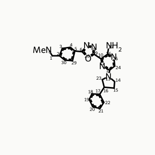 CNCc1ccc(-c2nnc(-c3nc(N4CCC(c5ccccc5)C4)cnc3N)o2)cc1